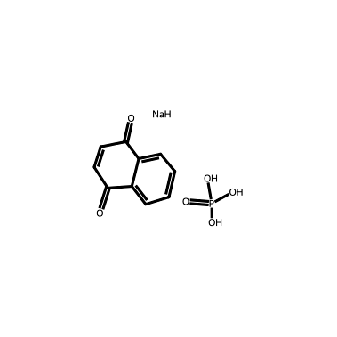 O=C1C=CC(=O)c2ccccc21.O=P(O)(O)O.[NaH]